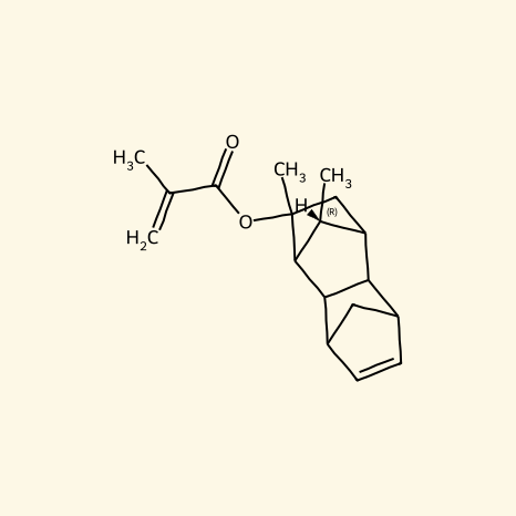 C=C(C)C(=O)OC1(C)CC2C3C4C=CC(C4)C3C1[C@@H]2C